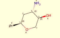 CC(C)[C@H]1C[C@H](N)[C@@H](O)CO1